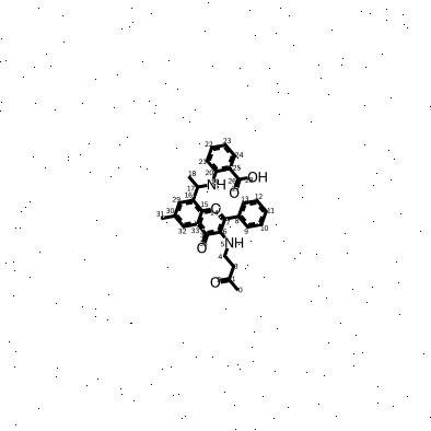 CC(=O)CCNc1c(-c2ccccc2)oc2c(C(C)Nc3ccccc3C(=O)O)cc(C)cc2c1=O